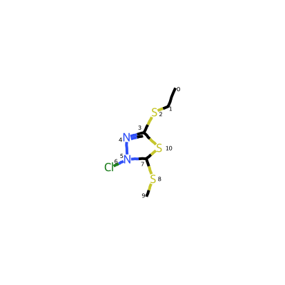 CCSC1=NN(Cl)C(SC)S1